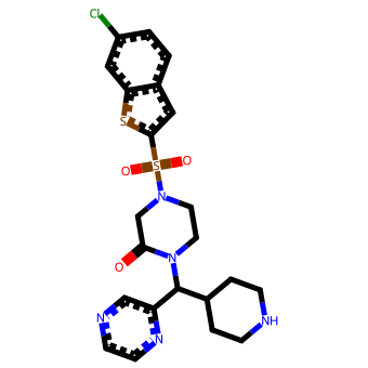 O=C1CN(S(=O)(=O)c2cc3ccc(Cl)cc3s2)CCN1C(c1cnccn1)C1CCNCC1